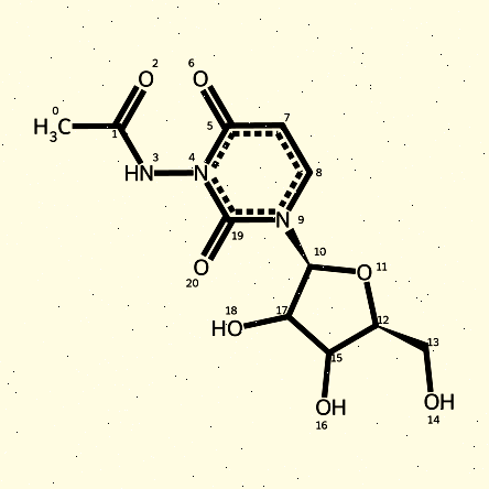 CC(=O)Nn1c(=O)ccn([C@H]2O[C@@H](CO)C(O)C2O)c1=O